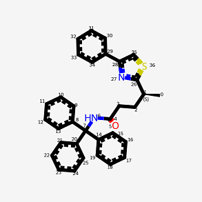 C[C@@H](CCC(=O)NC(c1ccccc1)(c1ccccc1)c1ccccc1)c1nc(-c2ccccc2)cs1